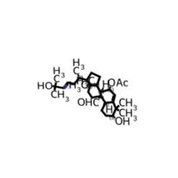 CC(=O)O[C@H]1C=C2[C@@H](CC[C@H](O)C2(C)C)[C@]2(C=O)CC[C@]3(C)C([C@H](C)C/C=C/C(C)(C)O)CC[C@@]3(C)[C@H]12